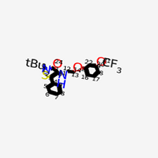 CC(C)(C)n1sc(-c2ccccc2)c(NCCOc2cccc(OC(F)(F)F)c2)c1=O